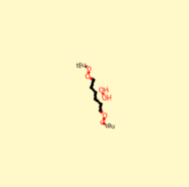 CC(C)(C)OOCCCCCCOOC(C)(C)C.OO